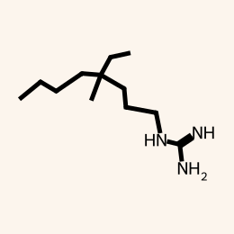 CCCCC(C)(CC)CCCNC(=N)N